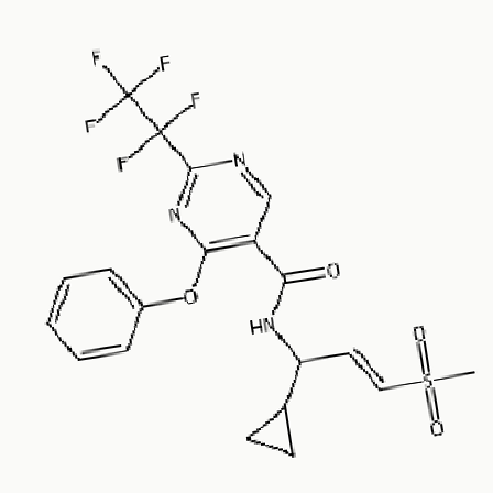 CS(=O)(=O)C=CC(NC(=O)c1cnc(C(F)(F)C(F)(F)F)nc1Oc1ccccc1)C1CC1